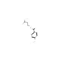 COC(C)C[CH]OOC(=O)c1ccc(OC(C)C)cc1